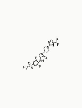 CS(=O)(=O)c1cc(F)c(NC2CCN(C3CCN(c4noc(C(F)F)n4)CC3)C2=O)c(F)c1